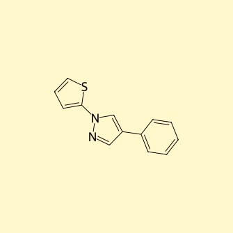 c1ccc(-c2cnn(-c3cccs3)c2)cc1